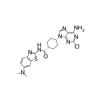 CN(C)c1ccc2nc(NC(=O)[C@H]3CC[C@@H](n4cnc5c(N)nc(Cl)nc54)CC3)sc2c1